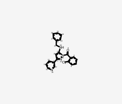 O=C(c1ccccc1Cl)n1nc(-c2cccnc2)cc1NCc1ccccc1